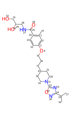 Cc1cc(OCCCC2CCN(c3nc(C(C)C)no3)CC2)ccc1C(=O)NCC(O)CO